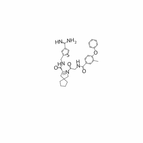 Cc1cc(C(=O)NCC(=O)N2CC3(CCCC3)C[C@H]2C(=O)NCc2cc(C(=N)N)cs2)ccc1Oc1ccccc1